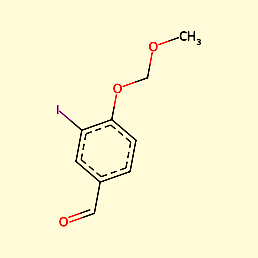 COCOc1ccc(C=O)cc1I